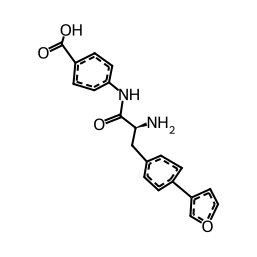 N[C@@H](Cc1ccc(-c2ccoc2)cc1)C(=O)Nc1ccc(C(=O)O)cc1